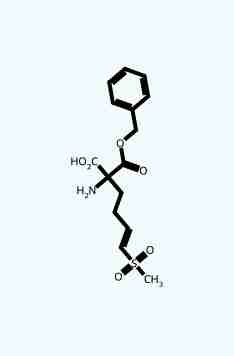 CS(=O)(=O)/C=C/CCC(N)(C(=O)O)C(=O)OCc1ccccc1